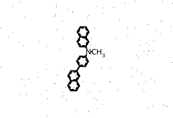 CN(c1ccc(-c2ccc3ccccc3c2)cc1)c1ccc2ccccc2c1